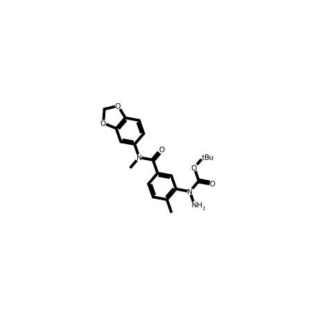 Cc1ccc(C(=O)N(C)c2ccc3c(c2)OCO3)cc1N(N)C(=O)OC(C)(C)C